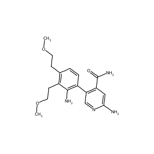 COCCc1ccc(-c2cnc(N)cc2C(N)=O)c(N)c1CCOC